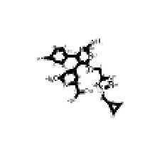 Cc1cc(-c2c(OCc3nnn(CC4CC4)n3)nc(N)nc2-c2ccc(F)cc2)cc(C(F)F)n1